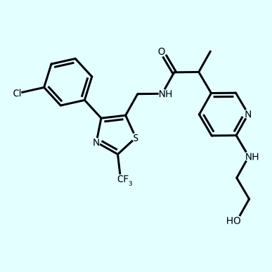 CC(C(=O)NCc1sc(C(F)(F)F)nc1-c1cccc(Cl)c1)c1ccc(NCCO)nc1